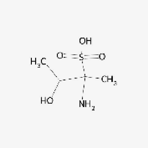 CC(O)C(C)(N)S(=O)(=O)O